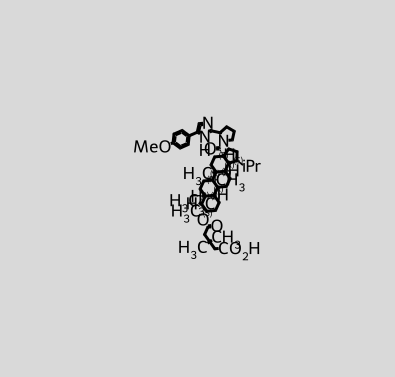 COc1ccc(-c2cnc(C3CCCN3C(=O)[C@]34CC[C@@H](C(C)C)[C@@H]3[C@H]3CC[C@@H]5[C@@]6(C)CC[C@H](OC(=O)CC(C)(C)CC(=O)O)C(C)(C)[C@@H]6CC[C@@]5(C)[C@]3(C)CC4)[nH]2)cc1